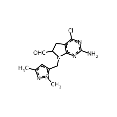 Cc1cc(CN2c3nc(N)nc(Cl)c3CC2C=O)n(C)n1